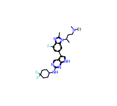 CCN(C)CCC(C)n1c(C)nc2c(F)cc(-c3c[nH]c4nc(NC5CCC(F)(F)CC5)ncc34)cc21